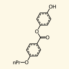 CCCOc1ccc(C(=O)Oc2ccc(O)cc2)cc1